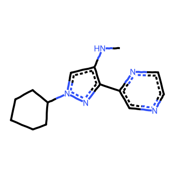 CNc1cn(C2CCCCC2)nc1-c1cnccn1